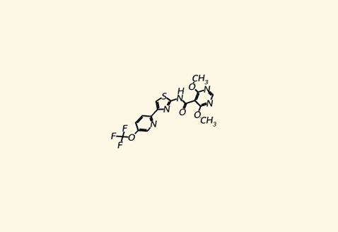 COc1ncnc(OC)c1C(=O)Nc1nc(-c2ccc(OC(F)(F)F)cn2)cs1